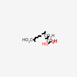 C=C(C)C(=O)O.C=C(C)C(=O)O.C=CCC=C(C)C(=O)O.OCCO